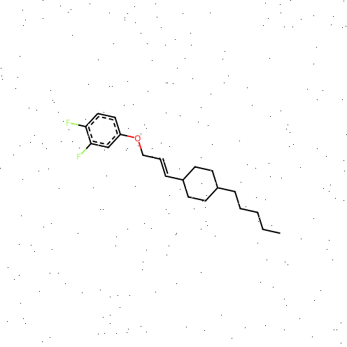 CCCCCC1CCC(C=CCOc2ccc(F)c(F)c2)CC1